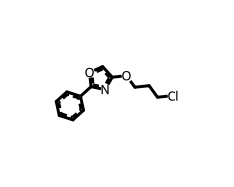 ClCCCOc1coc(-c2ccccc2)n1